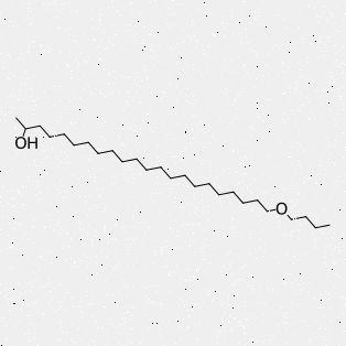 CCCCOCCCCCCCCCCCCCCCCCCCCC(C)O